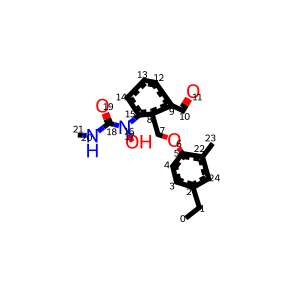 CCc1ccc(OCc2c(C=O)cccc2N(O)C(=O)NC)c(C)c1